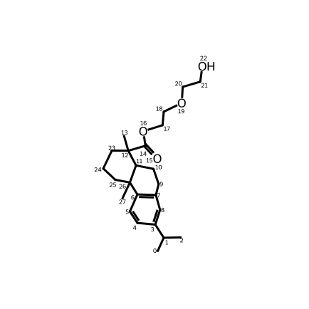 CC(C)c1ccc2c(c1)CCC1C(C)(C(=O)OCCOCCO)CCCC21C